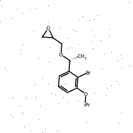 CC(C)Oc1cccc([C@@H](C)OCC2CO2)c1Br